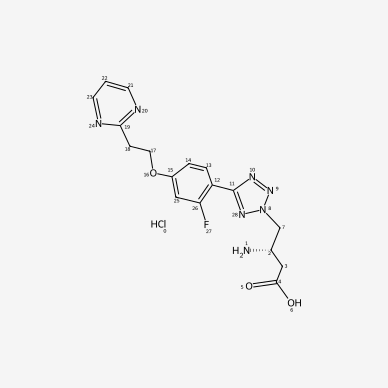 Cl.N[C@@H](CC(=O)O)Cn1nnc(-c2ccc(OCCc3ncccn3)cc2F)n1